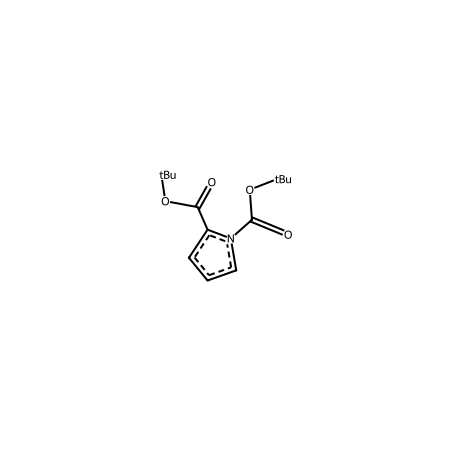 CC(C)(C)OC(=O)c1cccn1C(=O)OC(C)(C)C